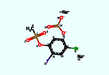 CS(=O)(=O)Oc1ccc(Br)cc1I.O=S([O-])[O-].[Na+].[Na+]